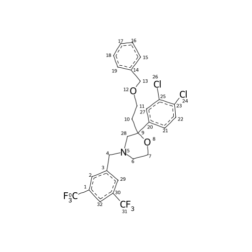 FC(F)(F)c1cc(CN2CCOC(CCOCc3ccccc3)(c3ccc(Cl)c(Cl)c3)C2)cc(C(F)(F)F)c1